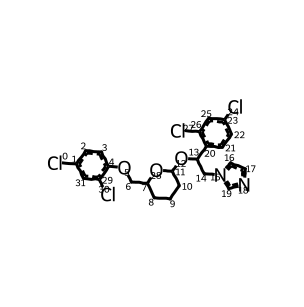 Clc1ccc(OCC2CCCC(OC(Cn3ccnc3)c3ccc(Cl)cc3Cl)O2)c(Cl)c1